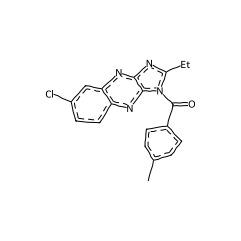 CCc1nc2nc3cc(Cl)ccc3nc2n1C(=O)c1ccc(C)cc1